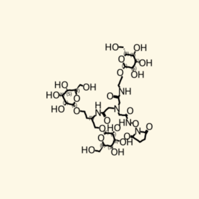 O=C(CN(CC(=O)NON1C(=O)CCC1=O)CC(=O)N[C@H](CCO[C@H]1O[C@H](CO)[C@@H](O)[C@H](O)[C@@H]1O)CO[C@H]1O[C@H](CO)[C@@H](O)[C@H](O)[C@@H]1O)NCCO[C@H]1O[C@H](CO)[C@@H](O)[C@H](O)[C@@H]1O